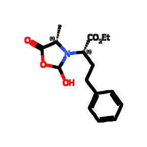 CCOC(=O)[C@H](CCc1ccccc1)N1C(O)OC(=O)[C@@H]1C